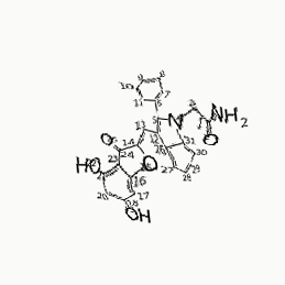 NC(=O)Cn1c(-c2ccccc2)c(C=C2Oc3cc(O)cc(O)c3C2=O)c2ccccc21